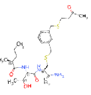 C=C(N)[C@H](CSCc1cccc(CSCCC(C)=O)c1)NC(=O)[C@@H](NC(=O)[C@@H](C)CCC)[C@@H](C)O